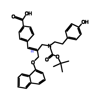 CC(C)(C)OC(=O)N(CCc1ccc(O)cc1)C/C(=C\c1ccc(C(=O)O)cc1)COc1cccc2ccccc12